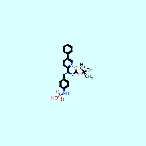 CC(C)(C)OC(=O)N[C@@H](Cc1ccc(NS(=O)(=O)O)cc1)C1=NC=C(c2ccccc2)CC1